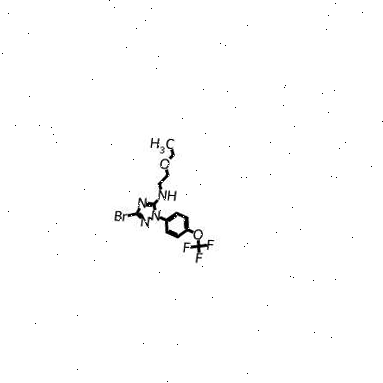 CCOCCNc1nc(Br)nn1-c1ccc(OC(F)(F)F)cc1